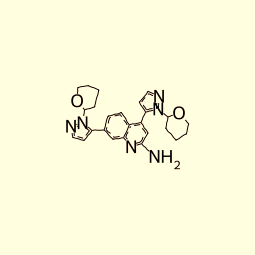 Nc1cc(-c2ccnn2C2CCCCO2)c2ccc(-c3ccnn3C3CCCCO3)cc2n1